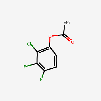 CCCC(=O)Oc1ccc(F)c(F)c1Cl